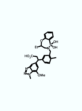 CCC1CN(Cc2cc(C(CC(=O)O)c3cc(OC)c4c(c3)nnn4C)ccc2C)S(O)(O)c2ccccc2O1